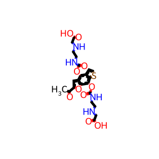 CC(=O)c1cc2c(OC(=O)NCCNCC(=O)O)c3ccsc3c(OC(=O)NCCNCC(=O)O)c2o1